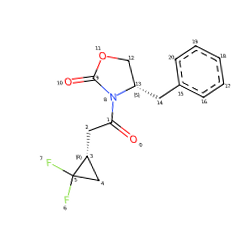 O=C(C[C@@H]1CC1(F)F)N1C(=O)OC[C@@H]1Cc1ccccc1